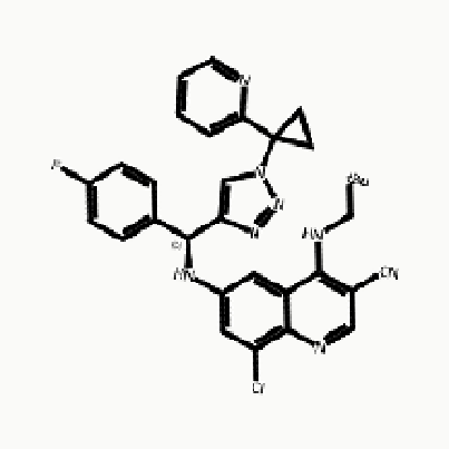 CC(C)(C)CNc1c(C#N)cnc2c(Cl)cc(N[C@@H](c3ccc(F)cc3)c3cn(C4(c5ccccn5)CC4)nn3)cc12